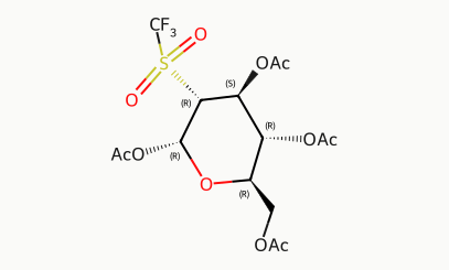 CC(=O)OC[C@H]1O[C@H](OC(C)=O)[C@H](S(=O)(=O)C(F)(F)F)[C@@H](OC(C)=O)[C@@H]1OC(C)=O